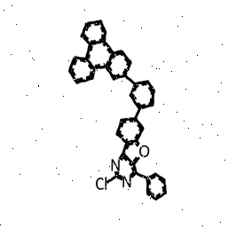 Clc1nc(-c2ccccc2)c2oc3cc(-c4cccc(-c5ccc6c7ccccc7c7ccccc7c6c5)c4)ccc3c2n1